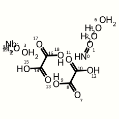 N=O.O.O.O.O.O.O=C(O)C(=O)O.O=C(O)C(=O)O.[Nb]